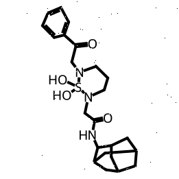 O=C(CN1CCCN(CC(=O)c2ccccc2)S1(O)O)NC1C2CC3CC(C2)CC1C3